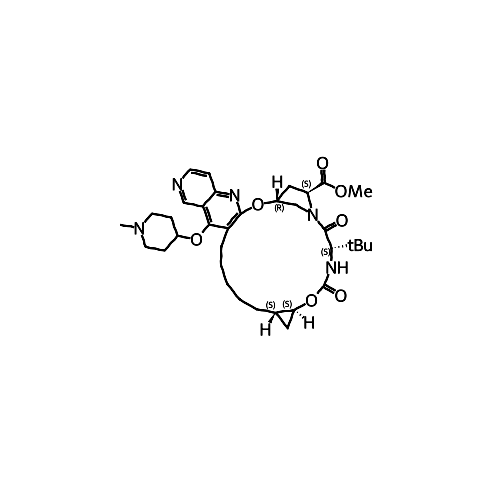 COC(=O)[C@@H]1C[C@@H]2CN1C(=O)[C@H](C(C)(C)C)NC(=O)O[C@H]1C[C@@H]1CCCCCc1c(nc3ccncc3c1OC1CCN(C)CC1)O2